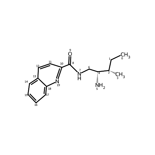 CC[C@H](C)[C@H](N)CNC(=O)c1ccc2ccccc2n1